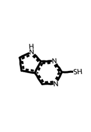 Sc1ncc2cc[nH]c2n1